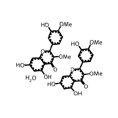 COc1ccc(-c2oc3cc(O)cc(O)c3c(=O)c2OC)cc1O.COc1ccc(-c2oc3cc(O)cc(O)c3c(=O)c2OC)cc1O.O